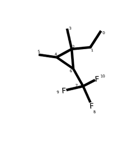 CCC1(C)C(C)C1C(F)(F)F